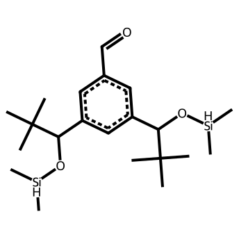 C[SiH](C)OC(c1cc(C=O)cc(C(O[SiH](C)C)C(C)(C)C)c1)C(C)(C)C